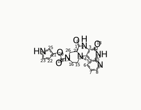 O=C1Nc2c(c3cccnc3[nH]c2=O)N2CCN(C(=O)Oc3cc[nH]c3)CC12